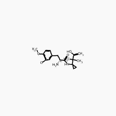 C=C(O)C(C)(C)C1(NC(=O)[C@H](N)Cc2ccc(OC)c(Cl)c2)CC1